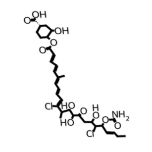 CC/C=C/C(OC(N)=O)C(Cl)C(O)CC(=O)C(O)C(O)C(C)/C(Cl)=C/C=C/C=C(C)/C=C/C=C/C(=O)OC1CC[C@H](C(=O)O)CC1O